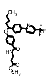 CCCCC(Oc1ccc(C(=O)NCCC(=O)OC)cc1)c1ccc(-c2ccc(C(F)(F)F)cn2)cc1